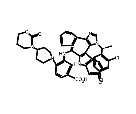 C=C(Nc1cc(C(=O)O)ccc1N1CCC(N2CCCOC2=O)CC1)c1[nH]c2cc(Cl)ccc2c1-c1c(-c2ccccc2)ncn1[C@@H](C)c1ccc(Cl)cc1Cl